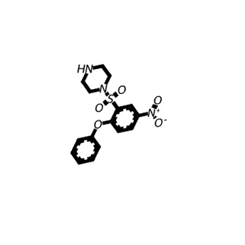 O=[N+]([O-])c1ccc(Oc2ccccc2)c(S(=O)(=O)N2CCNCC2)c1